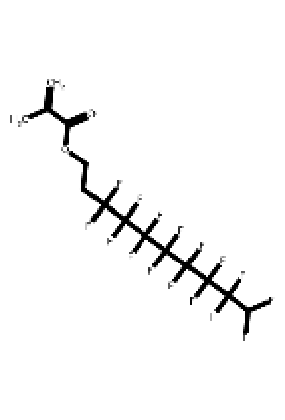 C=C(C)C(=O)OCCC(F)(F)C(F)(F)C(F)(F)C(F)(F)C(F)(F)C(F)(F)C(F)(F)C(F)F